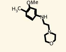 COc1cc(NCCN2CCOCC2)ccc1C